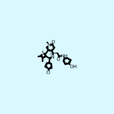 Cc1sc2c(c1C)C(c1ccc(Cl)cc1)=N[C@H](CC(=O)Nc1ccc(O)cc1)c1cc(=O)n(C)cc1-2